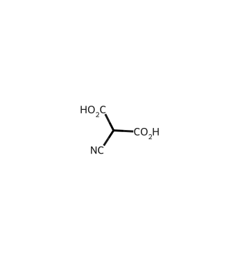 N#CC(C(=O)O)C(=O)O